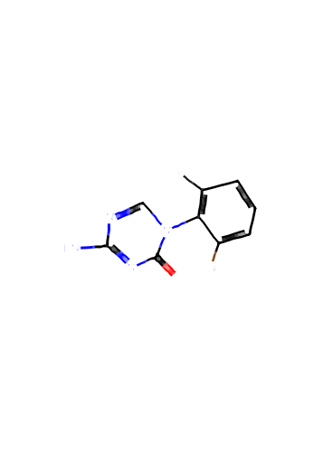 CCc1cccc(Br)c1-n1cnc(N)nc1=O